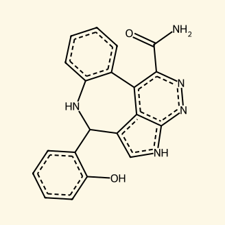 NC(=O)c1nnc2[nH]cc3c2c1-c1ccccc1NC3c1ccccc1O